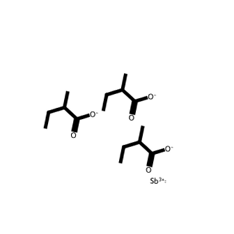 CCC(C)C(=O)[O-].CCC(C)C(=O)[O-].CCC(C)C(=O)[O-].[Sb+3]